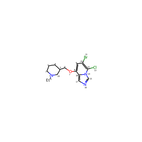 CCN1CCCC(COc2cc(Br)c(Cl)n3cncc23)C1